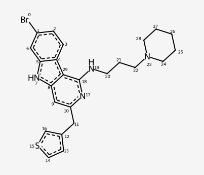 Brc1ccc2c(c1)[nH]c1cc(Cc3ccsc3)nc(NCCCN3CCCCC3)c12